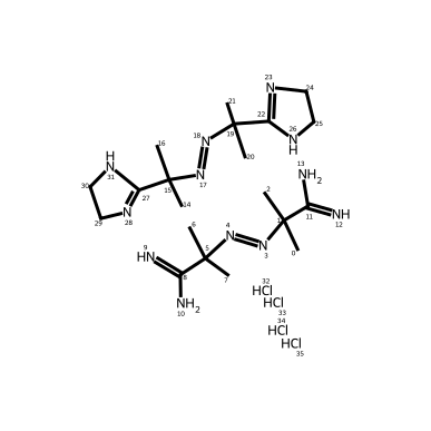 CC(C)(N=NC(C)(C)C(=N)N)C(=N)N.CC(C)(N=NC(C)(C)C1=NCCN1)C1=NCCN1.Cl.Cl.Cl.Cl